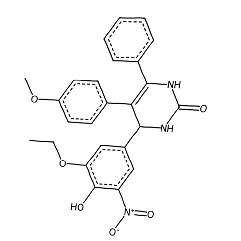 CCOc1cc(C2NC(=O)NC(c3ccccc3)=C2c2ccc(OC)cc2)cc([N+](=O)[O-])c1O